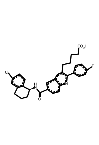 O=C(O)CCCCc1cc2cc(C(=O)N[C@H]3CCCc4cc(Cl)ccc43)ccc2nc1-c1ccc(F)cc1